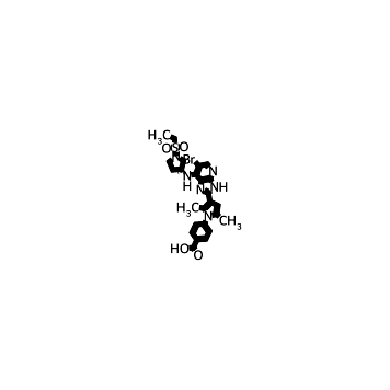 CCS(=O)(=O)N1CC[C@H](Nc2c(Br)cnc3[nH]c(-c4cc(C)n(-c5ccc(C(=O)O)cc5)c4C)nc23)C1